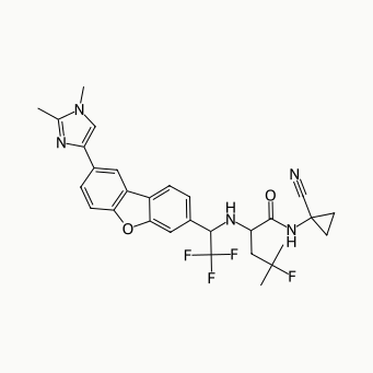 Cc1nc(-c2ccc3oc4cc(C(NC(CC(C)(C)F)C(=O)NC5(C#N)CC5)C(F)(F)F)ccc4c3c2)cn1C